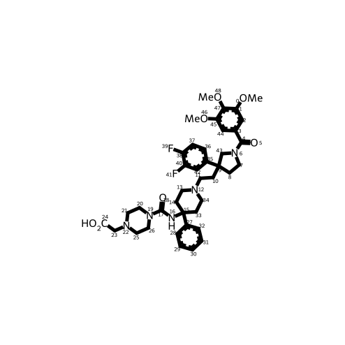 COc1cc(C(=O)N2CCC(CCN3CCC(NC(=O)N4CCN(CC(=O)O)CC4)(c4ccccc4)CC3)(c3ccc(F)c(F)c3)C2)cc(OC)c1OC